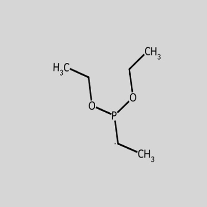 C[CH]P(OCC)OCC